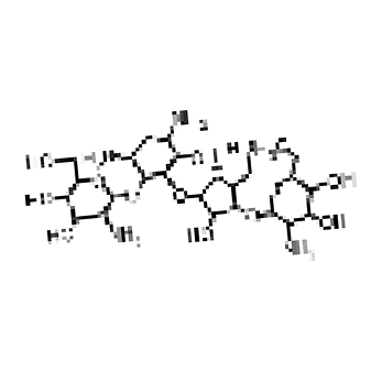 CCC1OC(OC2C(CO)OC(OC3C(O)C(N)CC(N)C3OC3OC(CO)C(O)C(O)C3N)C2O)C(N)C(O)C1O